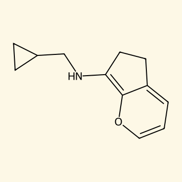 C1=COC2=C(NCC3CC3)CCC2=C1